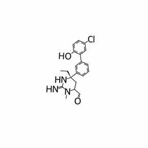 CC[C@@]1(c2cccc(-c3cc(Cl)ccc3O)c2)CC(C=O)N(C)C(=N)N1